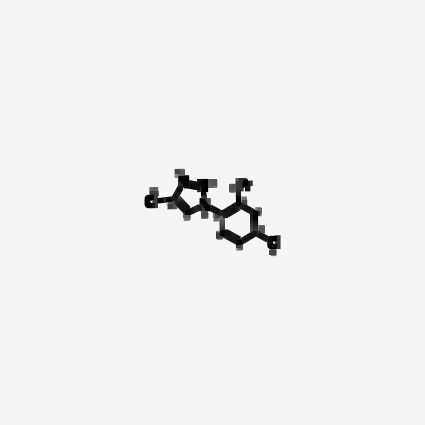 CC(C)c1cc(Cl)ccc1-n1cc(Cl)nn1